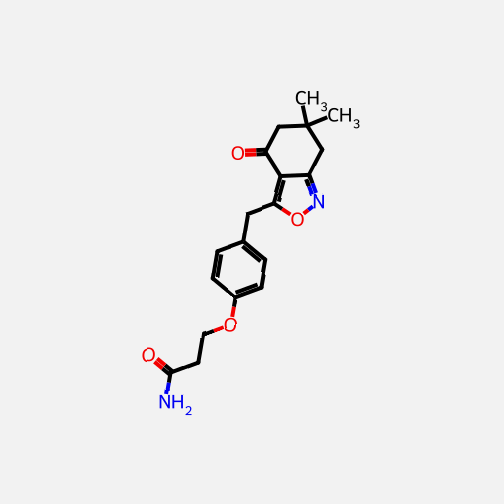 CC1(C)CC(=O)c2c(noc2Cc2ccc(OCCC(N)=O)cc2)C1